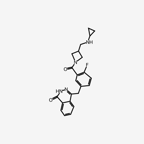 O=C(c1cc(Cc2n[nH]c(=O)c3ccccc23)ccc1F)N1CC(CNC2CC2)C1